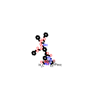 CCCCC[C@@H](C(=O)NCNC(=O)c1ccc(-c2ccc(C(=O)N[C@@H](CC(=O)OCc3ccccc3)C(=O)OCc3ccccc3)c(OCC(=O)OCc3ccccc3)c2)o1)[C@@H](CC)N(C=O)OP(=O)(NC(C)C(=O)OC)Oc1ccccc1